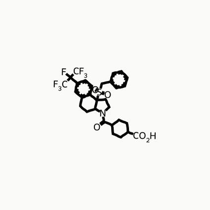 O=C(O)C1CCC(C(=O)N2CCC3(S(=O)(=O)Cc4ccccc4)c4ccc(C(F)(C(F)(F)F)C(F)(F)F)cc4CCC23)CC1